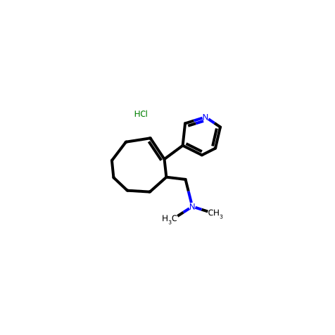 CN(C)CC1CCCCCC=C1c1cccnc1.Cl